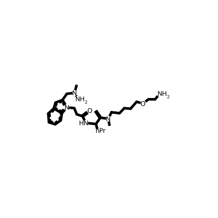 C=C(C(CCC)NC(=O)CCn1c(CN(C)N)cc2ccccc21)N(C)CCCCCOCCN